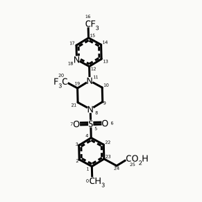 Cc1ccc(S(=O)(=O)N2CCN(c3ccc(C(F)(F)F)cn3)C(C(F)(F)F)C2)cc1CC(=O)O